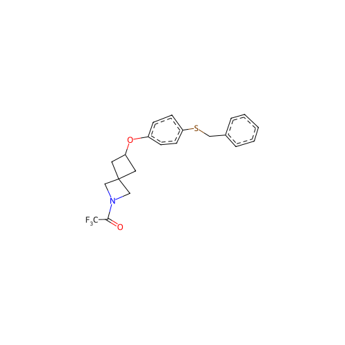 O=C(N1CC2(CC(Oc3ccc(SCc4ccccc4)cc3)C2)C1)C(F)(F)F